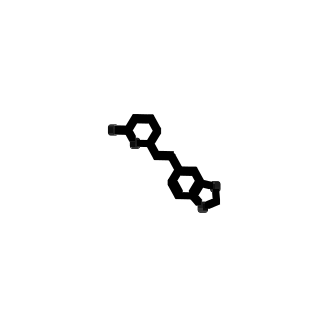 O=C1C=CCC(/C=C/c2ccc3c(c2)OCO3)O1